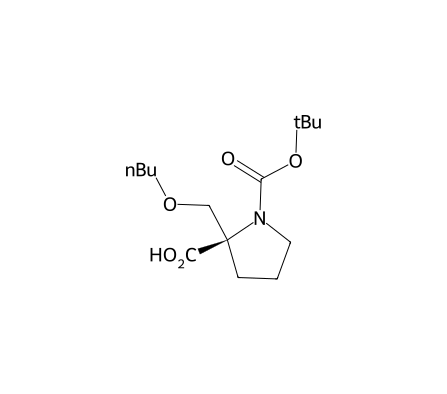 CCCCOC[C@@]1(C(=O)O)CCCN1C(=O)OC(C)(C)C